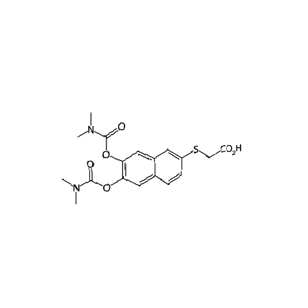 CN(C)C(=O)Oc1cc2ccc(SCC(=O)O)cc2cc1OC(=O)N(C)C